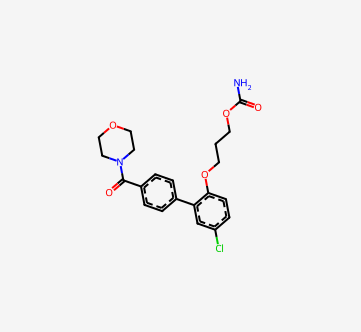 NC(=O)OCCCOc1ccc(Cl)cc1-c1ccc(C(=O)N2CCOCC2)cc1